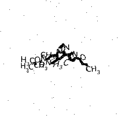 CCCC(=O)c1cc(C)c(-c2cc3cnc(N(C)C(=O)OC(C)(C)C)cc3n3ccnc23)cn1